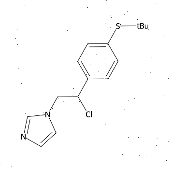 CC(C)(C)Sc1ccc(C(Cl)Cn2ccnc2)cc1